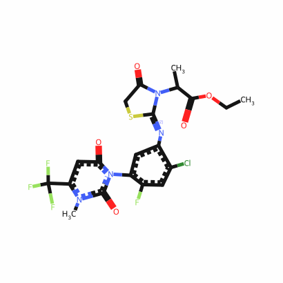 CCOC(=O)C(C)N1C(=O)CS/C1=N\c1cc(-n2c(=O)cc(C(F)(F)F)n(C)c2=O)c(F)cc1Cl